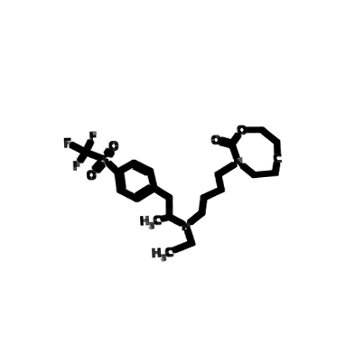 CCN(CCCCN1CCCCCOC1=O)C(C)Cc1ccc(S(=O)(=O)C(F)(F)F)cc1